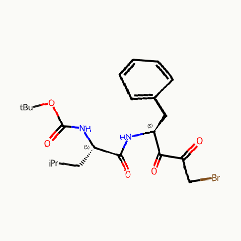 CC(C)C[C@H](NC(=O)OC(C)(C)C)C(=O)N[C@@H](Cc1ccccc1)C(=O)C(=O)CBr